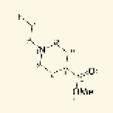 COC(=O)C1CCN(CCF)CC1